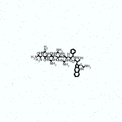 N=C(N)NC(NC(=O)C(NC(=N)N)NC(=O)C(NC(=N)N)NC(=O)C(NC(=N)N)NC(=O)C(NC(=O)C(CO)C1C=c2cc3ccccc3cc2=C1SC(=N)N)c1ccccc1)C(=O)NC(N)C(N)=O